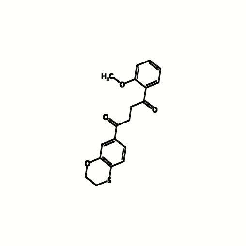 COc1ccccc1C(=O)CCC(=O)c1ccc2c(c1)OCCS2